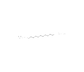 CCCCCCCCCCCCCCCCC[CH]OC